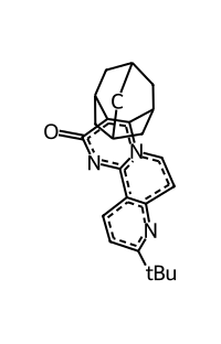 CC(C)(C)c1ccc2c(ccn3c4c(c(=O)nc23)C2CC3CC(C2)CC4C3)n1